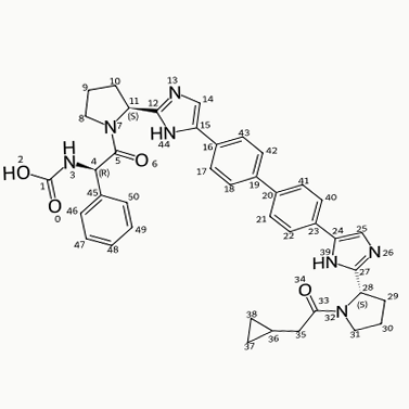 O=C(O)N[C@@H](C(=O)N1CCC[C@H]1c1ncc(-c2ccc(-c3ccc(-c4cnc([C@@H]5CCCN5C(=O)CC5CC5)[nH]4)cc3)cc2)[nH]1)c1ccccc1